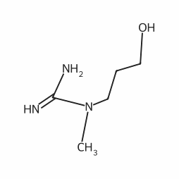 CN(CCCO)C(=N)N